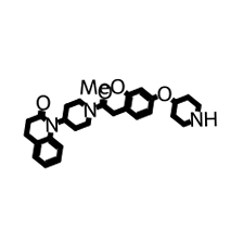 COc1cc(OC2CCNCC2)ccc1CC(=O)N1CCC(N2C(=O)CCc3ccccc32)CC1